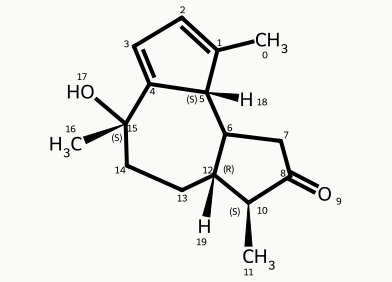 CC1=CC=C2[C@H]1C1CC(=O)[C@@H](C)[C@@H]1CC[C@]2(C)O